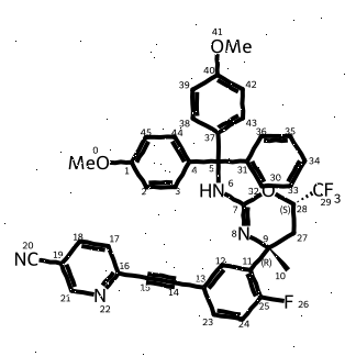 COc1ccc(C(NC2=N[C@@](C)(c3cc(C#Cc4ccc(C#N)cn4)ccc3F)C[C@@H](C(F)(F)F)O2)(c2ccccc2)c2ccc(OC)cc2)cc1